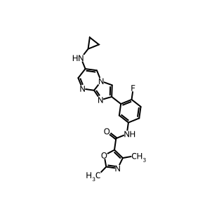 Cc1nc(C)c(C(=O)Nc2ccc(F)c(-c3cn4cc(NC5CC5)cnc4n3)c2)o1